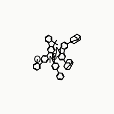 CC1(C)c2ccccc2-c2cc3c4c(c21)-n1c2ccc(C56CC7CC(CC(C7)C5)C6)cc2c2cc(C56CC7CC(CC(C7)C5)C6)cc(c21)B4N(c1ccc(-c2ccccc2)cc1)c1cc2c(cc1-3)oc1ccccc12